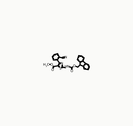 COC(=O)c1sc(CNC(=O)OCC2c3ccccc3-c3ccccc32)nc1-c1ccccc1C#N